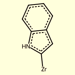 [Zr][c]1cc2ccccc2[nH]1